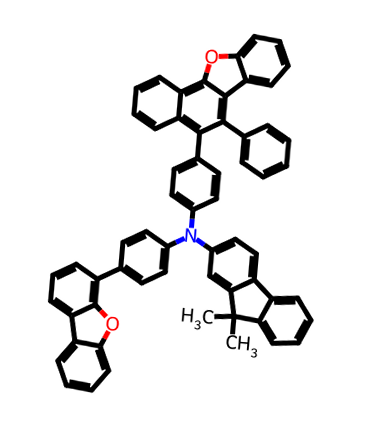 CC1(C)c2ccccc2-c2ccc(N(c3ccc(-c4c(-c5ccccc5)c5c6ccccc6oc5c5ccccc45)cc3)c3ccc(-c4cccc5c4oc4ccccc45)cc3)cc21